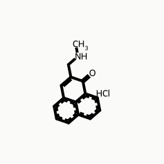 CNCC1=Cc2cccc3cccc(c23)C1=O.Cl